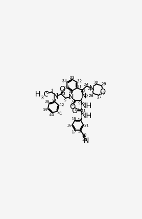 CCN(C(=O)CN1C(=O)C(NC(=O)Nc2cccc(C#N)c2)N=C(CN2CCOCC2)c2ccccc21)c1ccccc1